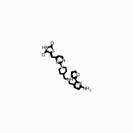 Nc1ccc(CNCC2CCN(c3nccc(/C=C4\SC(=O)NC4=O)n3)CC2)c(-c2ccco2)n1